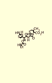 CCNC(=O)ON=C(C(=O)NC1C(=O)N2C(C(=O)O)=C(C)CS[C@@H]12)c1csc(=N)[nH]1